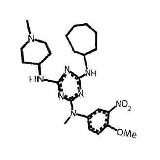 COc1ccc(N(C)c2nc(NC3CCCCCC3)nc(NC3CCN(C)CC3)n2)cc1[N+](=O)[O-]